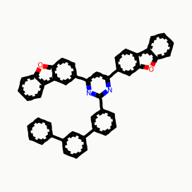 c1ccc(-c2cccc(-c3cccc(-c4nc(-c5ccc6c(c5)oc5ccccc56)cc(-c5ccc6oc7ccccc7c6c5)n4)c3)c2)cc1